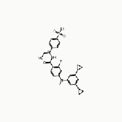 CCS(=O)(=O)c1ccc([C@H](CC#N)NC(=O)c2ccc(N(C)c3cc(C4CC4)cc(C4CC4)c3)cc2F)cc1